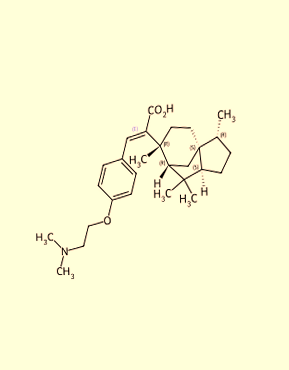 C[C@@H]1CC[C@H]2C(C)(C)[C@H]3C[C@@]12CC[C@@]3(C)/C(=C\c1ccc(OCCN(C)C)cc1)C(=O)O